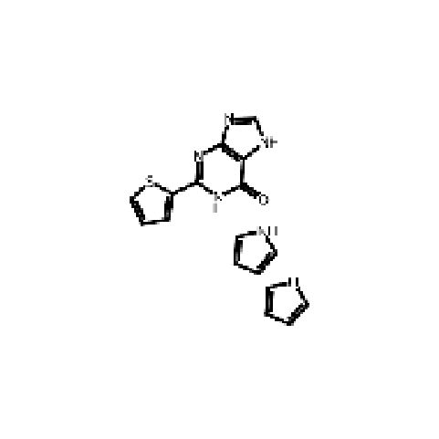 O=c1[nH]c(-c2cccs2)nc2nc[nH]c12.c1cc[nH]c1.c1ccoc1